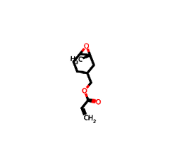 C=CC(=O)OCC1CCC2OC2(C)C1